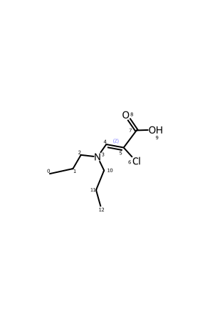 CCCN(/C=C(\Cl)C(=O)O)CCC